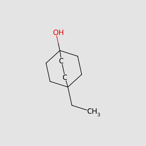 CCC12CCC(O)(CC1)CC2